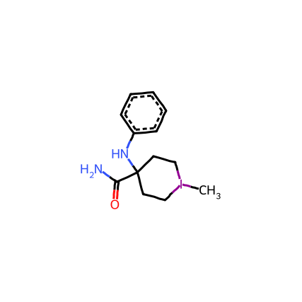 CI1CCC(Nc2ccccc2)(C(N)=O)CC1